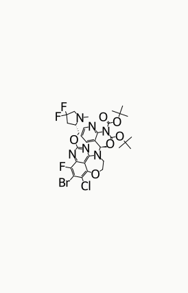 C[C@H](c1cccnc1N(C(=O)OC(C)(C)C)C(=O)OC(C)(C)C)N1CCOc2c(Cl)c(Br)c(F)c3nc(OC[C@@H]4CC(F)(F)CN4C)nc1c23